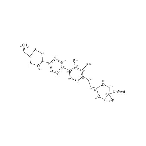 C=CC1CCC(c2ccc(-c3ccc(CCC4OCC(F)(CCCCC)CO4)c(F)c3F)cc2)OC1